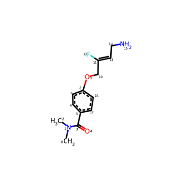 CN(C)C(=O)c1ccc(OC/C(F)=C/CN)cc1